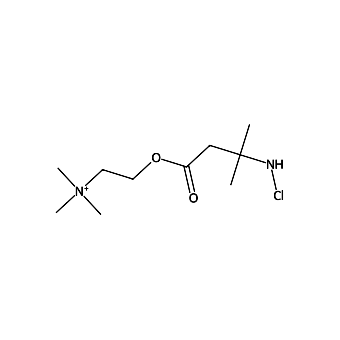 CC(C)(CC(=O)OCC[N+](C)(C)C)NCl